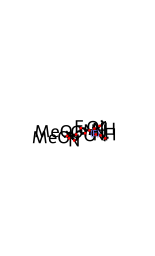 COc1cc2nccc(Oc3ccc(NC(=O)/C(=C/NCC=C(C)C)C(=O)NCC=C(C)C)cc3F)c2cc1OC